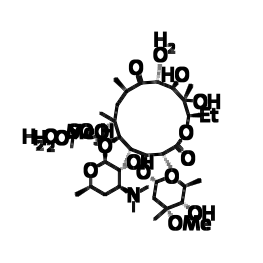 CC[C@H]1OC(=O)[C@H](C)[C@@H](O[C@H]2C[C@@](C)(OC)[C@@H](O)[C@H](C)O2)[C@H](C)[C@@H](O[C@@H]2O[C@H](C)C[C@H](N(C)C)[C@H]2O)[C@](C)(OC)C[C@@H](C)C(=O)[C@H](C)[C@@H](O)[C@]1(C)O.CS(=O)(=O)O.O.O.O